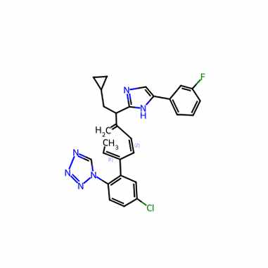 C=C(/C=C\C(=C/C)c1cc(Cl)ccc1-n1cnnn1)C(CC1CC1)c1ncc(-c2cccc(F)c2)[nH]1